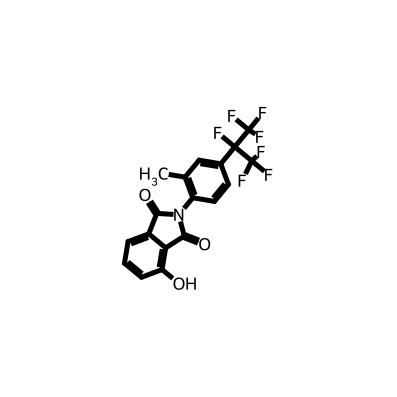 Cc1cc(C(F)(C(F)(F)F)C(F)(F)F)ccc1N1C(=O)c2cccc(O)c2C1=O